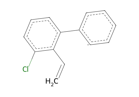 C=Cc1c(Cl)cccc1-c1[c]cccc1